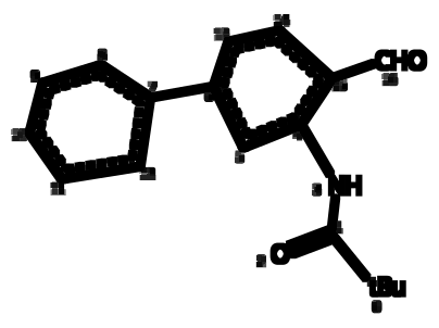 CC(C)(C)C(=O)Nc1cc(-c2ccccc2)ccc1C=O